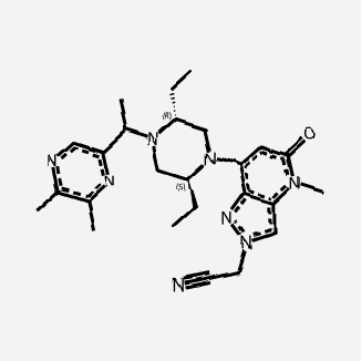 CC[C@H]1CN(C(C)c2cnc(C)c(C)n2)[C@H](CC)CN1c1cc(=O)n(C)c2cn(CC#N)nc12